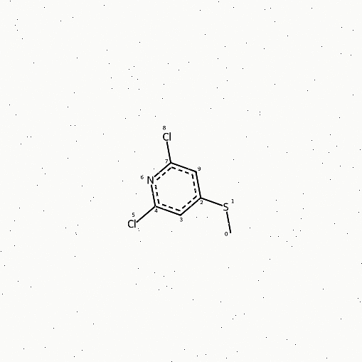 CSc1cc(Cl)nc(Cl)c1